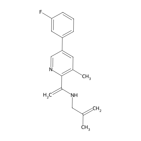 C=C(C)CNC(=C)c1ncc(-c2cccc(F)c2)cc1C